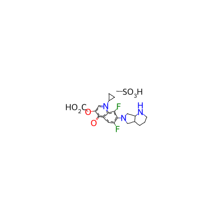 CS(=O)(=O)O.O=C(O)Oc1cn(C2CC2)c2c(F)c(N3CC4CCCNC4C3)c(F)cc2c1=O